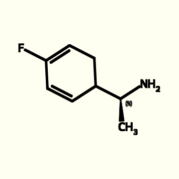 C[C@H](N)C1C=CC(F)=CC1